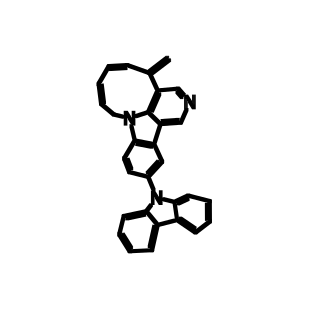 C=C1/C=C\C=C/Cn2c3ccc(-n4c5ccccc5c5ccccc54)cc3c3cncc1c32